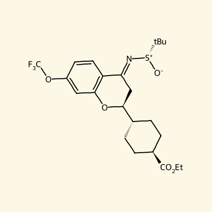 CCOC(=O)[C@H]1CC[C@H]([C@@H]2C/C(=N\[S@@+]([O-])C(C)(C)C)c3ccc(OC(F)(F)F)cc3O2)CC1